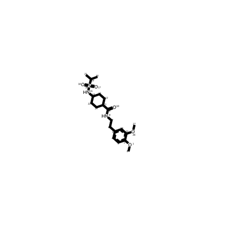 COc1ccc(CCNC(=O)C2CCC(NS(=O)(=O)C(C)C)CC2)cc1OC